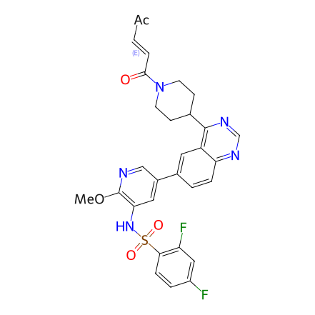 COc1ncc(-c2ccc3ncnc(C4CCN(C(=O)/C=C/C(C)=O)CC4)c3c2)cc1NS(=O)(=O)c1ccc(F)cc1F